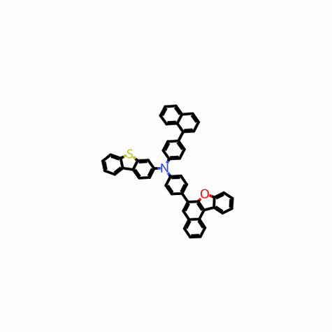 c1ccc2c(-c3ccc(N(c4ccc(-c5cc6ccccc6c6c5oc5ccccc56)cc4)c4ccc5c(c4)sc4ccccc45)cc3)cccc2c1